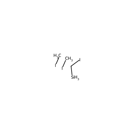 CI.CI.[SiH3]CI